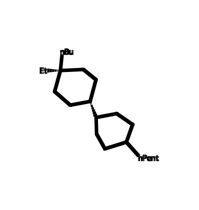 CCCCCC1CCC([C@H]2CC[C@](CC)(CCCC)CC2)CC1